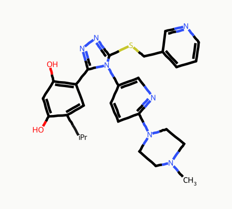 CC(C)c1cc(-c2nnc(SCc3cccnc3)n2-c2ccc(N3CCN(C)CC3)nc2)c(O)cc1O